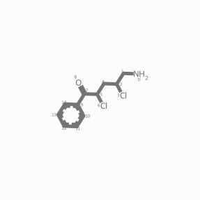 NCC(Cl)CC(Cl)C(=O)c1ccccc1